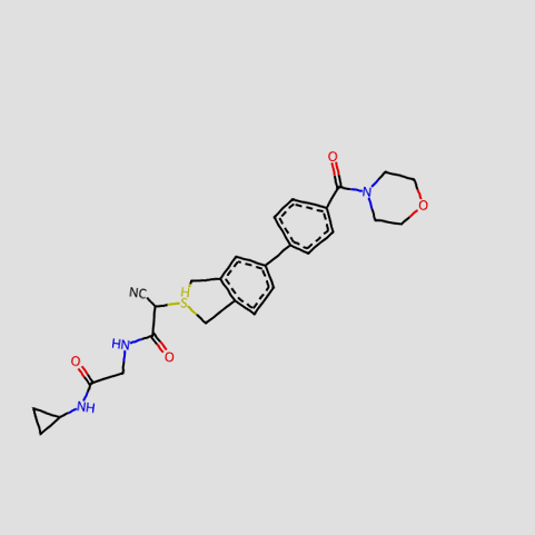 N#CC(C(=O)NCC(=O)NC1CC1)[SH]1Cc2ccc(-c3ccc(C(=O)N4CCOCC4)cc3)cc2C1